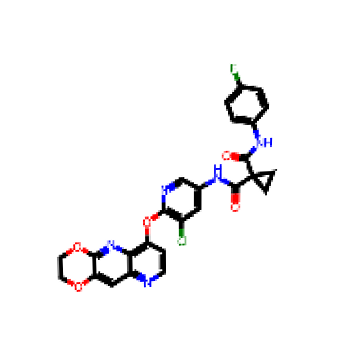 O=C(Nc1ccc(F)cc1)C1(C(=O)Nc2cnc(Oc3ccnc4cc5c(nc34)OCCO5)c(Cl)c2)CC1